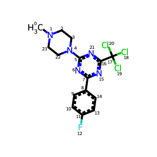 CN1CCN(c2nc(-c3ccc(F)cc3)nc(C(Cl)(Cl)Cl)n2)CC1